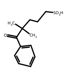 CC(C)(CCCS(=O)(=O)O)C(=O)c1ccccc1